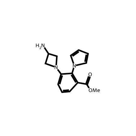 COC(=O)c1cccc(N2CC(N)C2)c1-n1cccc1